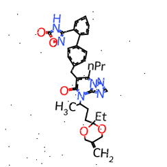 C=C1COC(CC)(CCC(C)n2c(=O)c(Cc3ccc(-c4ccccc4-c4noc(=O)[nH]4)cc3)c(CCC)n3ncnc23)OC1